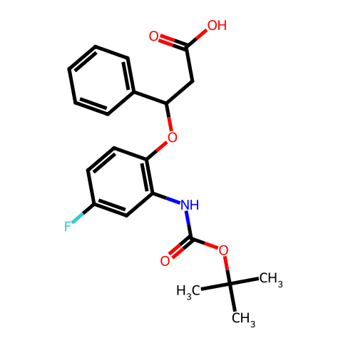 CC(C)(C)OC(=O)Nc1cc(F)ccc1OC(CC(=O)O)c1ccccc1